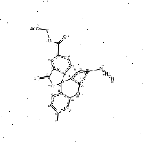 CC(=O)OCOC(=O)c1ccc2c(c1)C(=O)OC21c2ccc(C)cc2Oc2cc(N=[N+]=[N-])ccc21